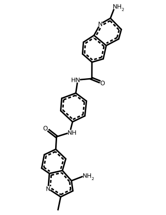 Cc1cc(N)c2cc(C(=O)Nc3ccc(NC(=O)c4ccc5nc(N)ccc5c4)cc3)ccc2n1